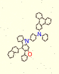 c1ccc(N(c2ccc(-n3c4ccccc4c4c(-c5ccc6ccccc6c5)c5c(cc43)oc3ccccc35)cc2)c2ccc3c4ccccc4c4ccccc4c3c2)cc1